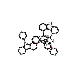 c1ccc(-c2nc(-c3ccccc3)nc(-c3cccc4oc5cccc(-c6nc(-c7ccc8c9ccccc9n(-c9ccccc9)c8c7)c7ccccc7n6)c5c34)n2)cc1